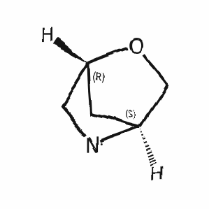 C1O[C@H]2C[N][C@H]1C2